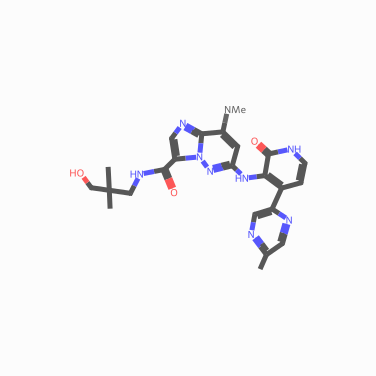 CNc1cc(Nc2c(-c3cnc(C)cn3)cc[nH]c2=O)nn2c(C(=O)NCC(C)(C)CO)cnc12